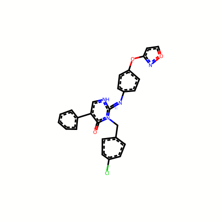 O=c1c(-c2ccccc2)c[nH]/c(=N\c2ccc(Oc3ccon3)cc2)n1Cc1ccc(Cl)cc1